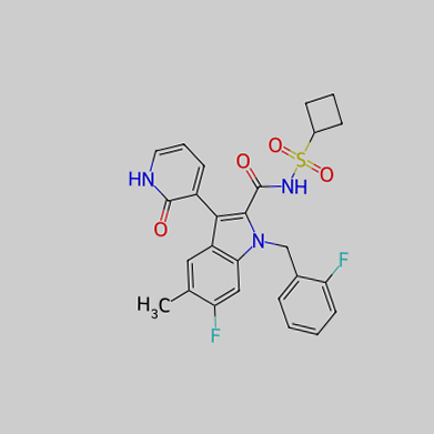 Cc1cc2c(-c3ccc[nH]c3=O)c(C(=O)NS(=O)(=O)C3CCC3)n(Cc3ccccc3F)c2cc1F